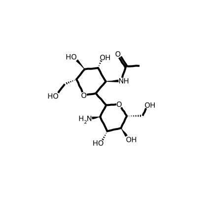 CC(=O)N[C@H]1C([C]2O[C@H](CO)[C@@H](O)[C@H](O)[C@H]2N)O[C@H](CO)[C@@H](O)[C@@H]1O